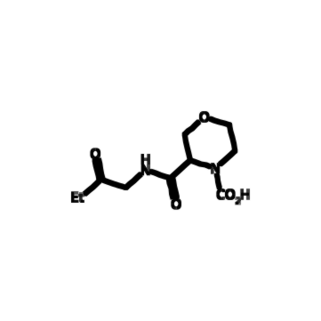 CCC(=O)CNC(=O)C1COCCN1C(=O)O